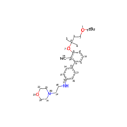 CC(C)(C)OCCC(C)(C)Oc1cccc(-c2ccc(NCCN3CCOCC3)cc2)c1C#N